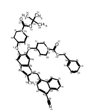 Cc1nc2cc(OC3CCN(C(=O)OC(C)(C)C)CC3)c(OC3CCN(C(=O)OCc4ccccc4)CC3)cc2n1Cc1ccc(C#N)c2ccccc12